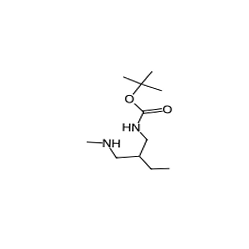 CCC(CNC)CNC(=O)OC(C)(C)C